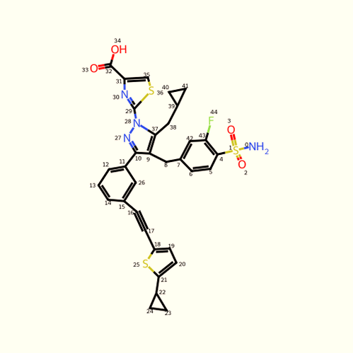 NS(=O)(=O)c1ccc(Cc2c(-c3cccc(C#Cc4ccc(C5CC5)s4)c3)nn(-c3nc(C(=O)O)cs3)c2CC2CC2)cc1F